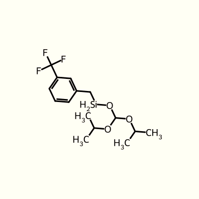 CC(C)OC(O[SiH2]Cc1cccc(C(F)(F)F)c1)OC(C)C